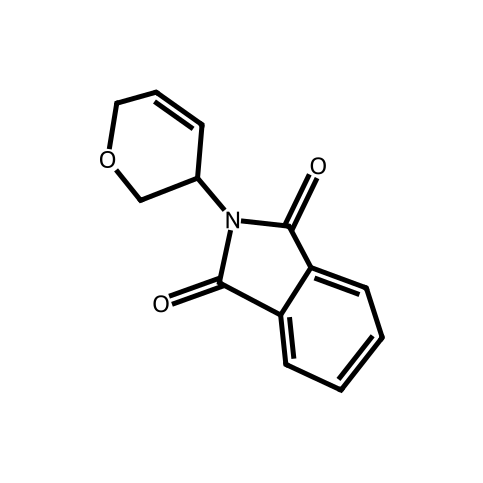 O=C1c2ccccc2C(=O)N1C1C=CCOC1